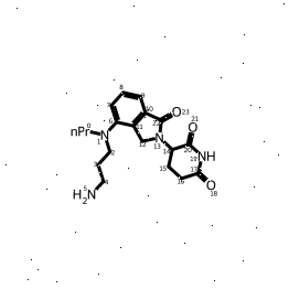 CCCN(CCCN)c1cccc2c1CN(C1CCC(=O)NC1=O)C2=O